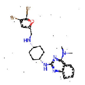 CN(C)c1nc(N[C@H]2CC[C@@H](NCc3cc(Br)c(Br)o3)CC2)nc2ccccc12